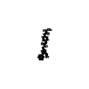 CC(C)Cc1cc(CNC(=O)CN2CCN(CC(=O)NC(C)(C)C)CC2)nn1-c1ccccc1